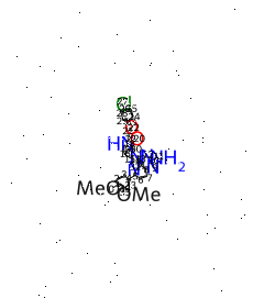 COc1ccc(-c2ccc3nc(N)nc(N4CC[C@H](NC(=O)COc5ccc(Cl)cc5)C4)c3n2)cc1OC